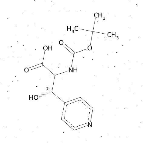 CC(C)(C)OC(=O)NC(C(=O)O)[C@@H](O)c1ccncc1